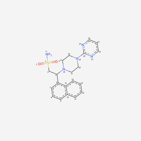 NS(=O)(=O)CC(c1cccc2ccccc12)N1CCN(c2ncccn2)CC1